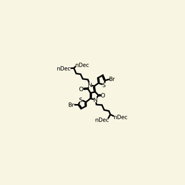 CCCCCCCCCCC(CCCCCCCCCC)CCCCN1C(=O)C2=C(c3ccc(Br)s3)N(CCCCC(CCCCCCCCCC)CCCCCCCCCC)C(=O)C2=C1c1ccc(Br)s1